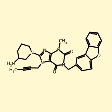 CC#CCn1c(N2CCCC(N)C2)nc2c1c(=O)n(Cc1ccc3oc4ccccc4c3c1)c(=O)n2C